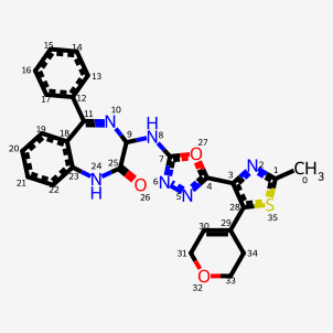 Cc1nc(-c2nnc(NC3N=C(c4ccccc4)c4ccccc4NC3=O)o2)c(C2=CCOCC2)s1